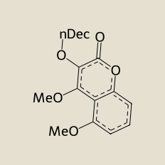 CCCCCCCCCCOc1c(OC)c2c(OC)cccc2oc1=O